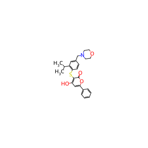 CC(C)c1cc(CN2CCOCC2)ccc1Sc1c(O)cc(-c2ccccc2)oc1=O